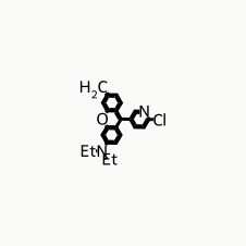 C=c1ccc2c(c1)Oc1cc(N(CC)CC)ccc1C=2c1ccc(Cl)nc1